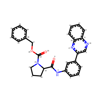 O=C(Nc1cccc(-c2cnc3ccccc3n2)c1)C1CCCN1C(=O)OCc1ccccc1